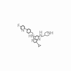 Fc1ccc(-c2ccc(CNc3cc(NCC4CCNCC4)nc4c(C5CC5)cnn34)cc2)nc1